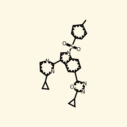 Cc1ccc(S(=O)(=O)n2cc(-c3nccc(C4CC4)n3)c3cc(-c4nnc(C5CC5)o4)ccc32)cc1